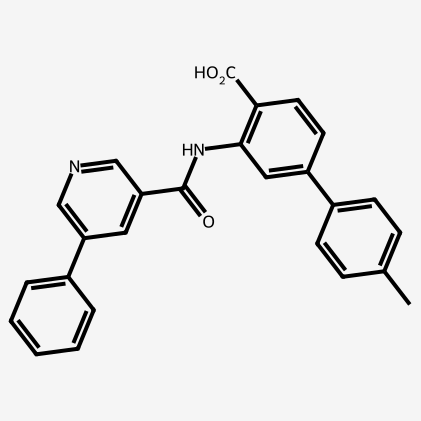 Cc1ccc(-c2ccc(C(=O)O)c(NC(=O)c3cncc(-c4ccccc4)c3)c2)cc1